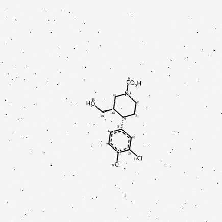 O=C(O)N1CC[C@H](c2ccc(Cl)c(Cl)c2)[C@@H](CO)C1